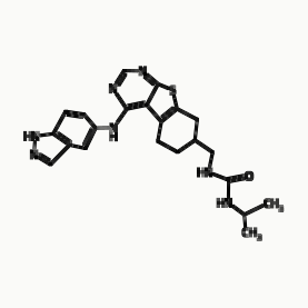 CC(C)NC(=O)NCC1CCc2c(sc3ncnc(Nc4ccc5[nH]ncc5c4)c23)C1